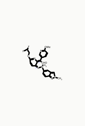 COc1ccc(/C(C=O)=C2\N=C(OCC(F)F)C=C\C2=N\N(C)c2ccc3nn(C)cc3c2)cn1